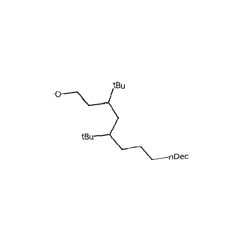 CCCCCCCCCCCCCC(CC(CC[O])C(C)(C)C)C(C)(C)C